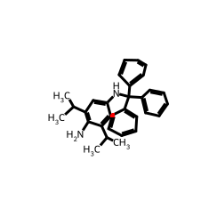 CC(C)c1cc(NC(c2ccccc2)(c2ccccc2)c2ccccc2)cc(C(C)C)c1N